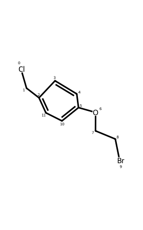 ClCc1ccc(OCCBr)cc1